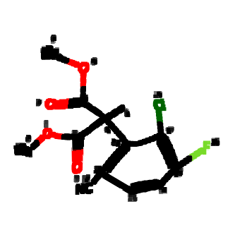 CC(C)(C)OC(=O)C(C)(C(=O)OC(C)(C)C)c1c(C#N)ccc(F)c1Cl